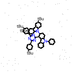 CC(C)(C)c1ccc(-c2nc(-c3ccc(C(C)(C)C)cc3)nc(-c3c(-n4c5ccc(C(C)(C)C)cc5c5cc(C(C)(C)C)ccc54)ccc4c3c3ccccc3n4-c3ccccc3)n2)cc1